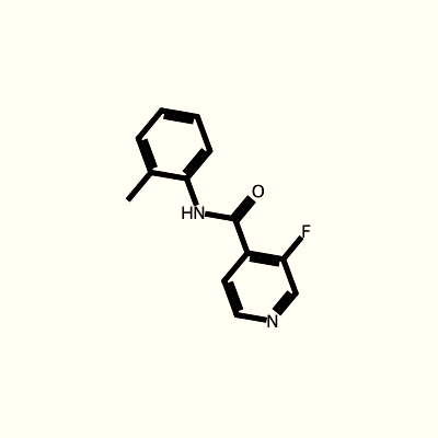 Cc1ccccc1NC(=O)c1ccncc1F